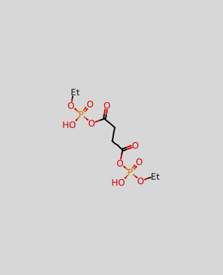 CCOP(=O)(O)OC(=O)CCC(=O)OP(=O)(O)OCC